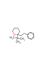 C[Si](C)(C)C1(CCc2ccccc2)CCCCO1